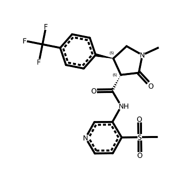 CN1C[C@H](c2ccc(C(F)(F)F)cc2)[C@@H](C(=O)Nc2cnccc2S(C)(=O)=O)C1=O